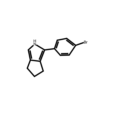 Brc1ccc(-c2[nH]cc3c2CCC3)cc1